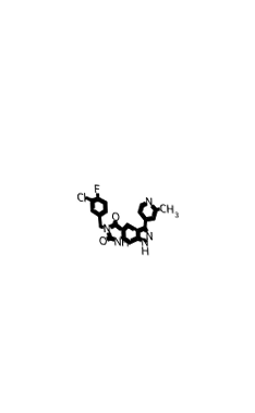 Cc1cc(-c2n[nH]c3cc4[nH]c(=O)n(Cc5ccc(F)c(Cl)c5)c(=O)c4cc23)ccn1